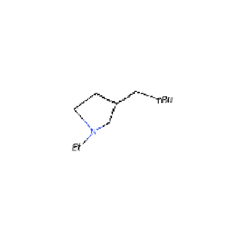 CCCCCC1CCN(CC)C1